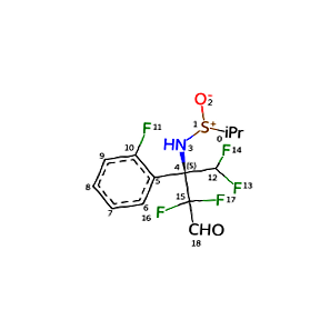 CC(C)[S+]([O-])N[C@@](c1ccccc1F)(C(F)F)C(F)(F)C=O